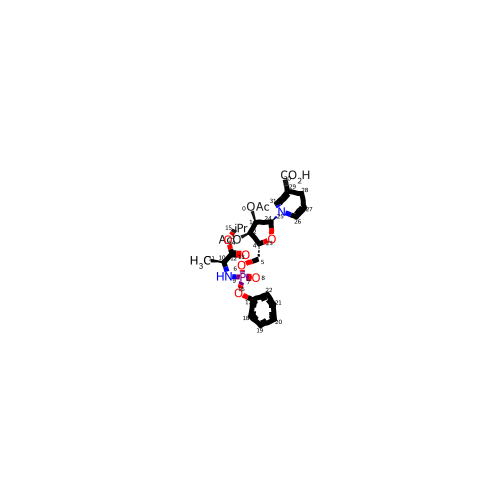 CC(=O)O[C@@H]1[C@H](OC(C)=O)[C@@H](COP(=O)(N[C@@H](C)C(=O)OC(C)C)Oc2ccccc2)O[C@H]1N1C=CCC(C(=O)O)=C1